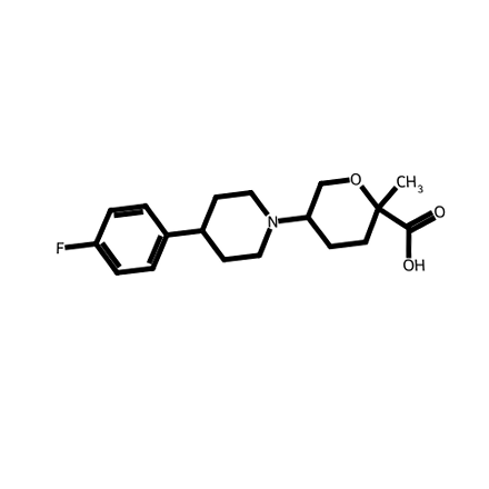 CC1(C(=O)O)CCC(N2CCC(c3ccc(F)cc3)CC2)CO1